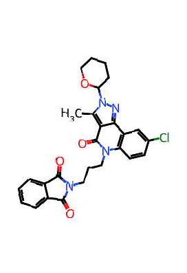 Cc1c2c(=O)n(CCCN3C(=O)c4ccccc4C3=O)c3ccc(Cl)cc3c2nn1C1CCCCO1